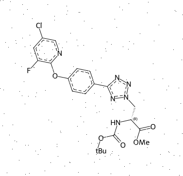 COC(=O)[C@@H](Cn1nnc(-c2ccc(Oc3ncc(Cl)cc3F)cc2)n1)NC(=O)OC(C)(C)C